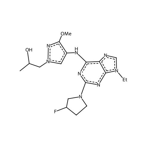 CCn1cnc2c(Nc3cn(CC(C)O)nc3OC)nc(N3CCC(F)C3)nc21